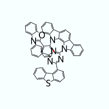 c1ccc(-c2nc(-c3cccc4sc5ccccc5c34)nc(-n3c4ccccc4c4ccc5c6ccccc6n(-c6ccccc6-c6nc7ccccc7o6)c5c43)n2)cc1